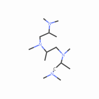 CC(CN(C)C(C)CN(C)C(C)CN(C)C)N(C)C